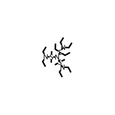 CCN(CC)S(C)(C)N(S(C)(C)N(CC)CC)S(CC)(CC)N(CC)CC